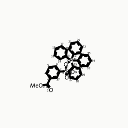 COC(=O)c1cccc(S(=O)(=O)OP(c2ccccc2)(c2ccccc2)(c2ccccc2)c2ccccc2)c1